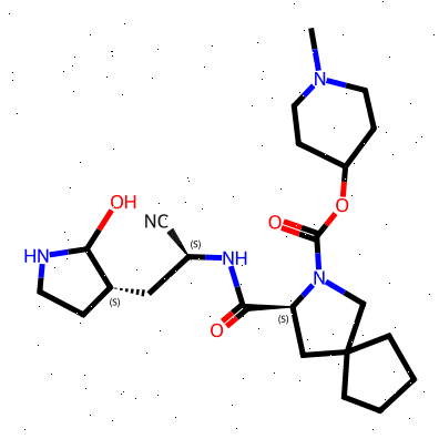 CN1CCC(OC(=O)N2CC3(CCCC3)C[C@H]2C(=O)N[C@H](C#N)C[C@@H]2CCNC2O)CC1